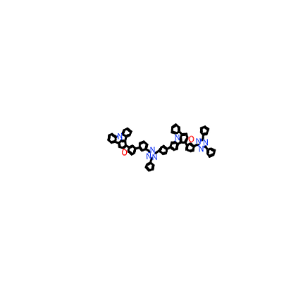 c1ccc(-c2nc(-c3ccc(-c4ccc5c6c7c(cc8c9ccccc9n(c5c4)c86)oc4c(-c5nc(-c6ccccc6)nc(-c6ccccc6)n5)cccc47)cc3)nc(-c3cccc(-c4ccc5oc6cc7c8ccccc8n8c9ccccc9c(c6c5c4)c78)c3)n2)cc1